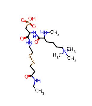 CCNC(=O)CCSSCCNC(=O)C(CS(=O)(=O)O)NC(=O)C(CCCC[N+](C)(C)C)NC